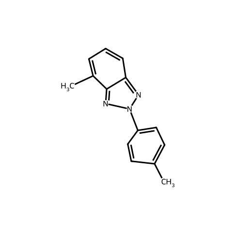 Cc1ccc(-n2nc3cccc(C)c3n2)cc1